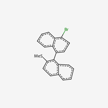 CSc1ccc2ccccc2c1-c1ccc(Br)c2ccccc12